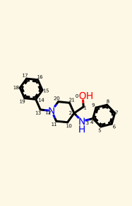 OCC1(Nc2ccccc2)CCN(Cc2ccccc2)CC1